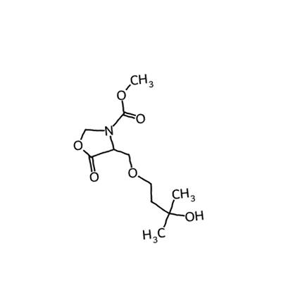 COC(=O)N1COC(=O)C1COCCC(C)(C)O